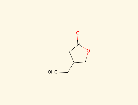 O=CCC1COC(=O)C1